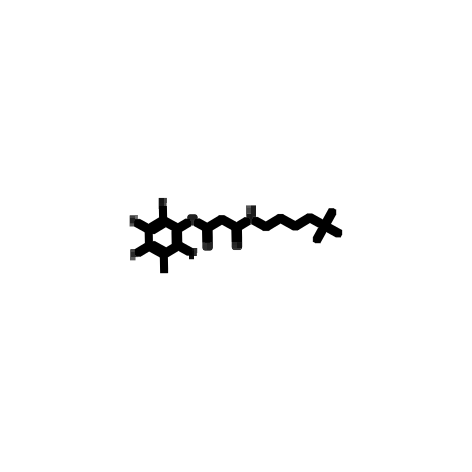 Cc1c(F)c(F)c(F)c(OC(=O)CC(=O)NCCCCC(C)(C)C)c1F